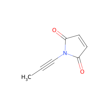 CC#CN1C(=O)C=CC1=O